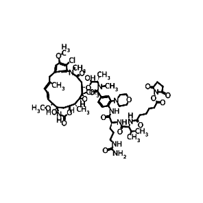 COc1cc2cc(c1Cl)N(C)C(=O)C[C@H](OC(O)[C@H](C)N(C)C(=O)c1ccc(NC(=O)[C@H](CCCNC(N)=O)NC(=O)[C@@H](NC(=O)CCCCC(=O)ON3C(=O)CCC3=O)C(C)C)c(N3CCOCC3)c1)[C@]1(C)O[C@H]1[C@H](C)[C@@H]1C[C@@](O)(NC(=O)O1)[C@H](OC)/C=C/C=C(\C)C2